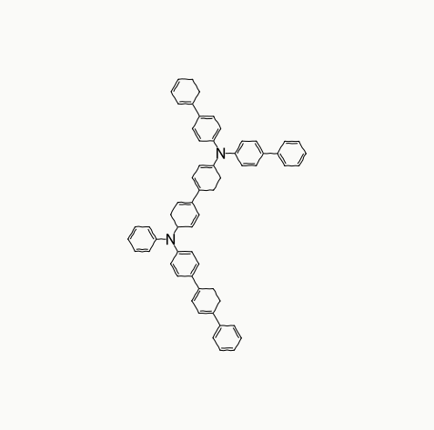 C1=CCCC(c2ccc(N(C3=CC=C(C4=CCC(N(c5ccccc5)c5ccc(C6=CC=C(c7ccccc7)CC6)cc5)C=C4)CC3)c3ccc(-c4ccccc4)cc3)cc2)=C1